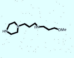 COCCCNCCCN1CCNCC1